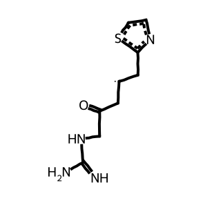 N=C(N)NCC(=O)C[CH]Cc1nccs1